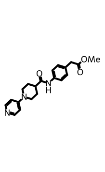 COC(=O)Cc1ccc(NC(=O)C2CCN(c3ccncc3)CC2)cc1